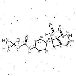 CC(C)(C)OC(=O)N[C@H]1CC[C@H](C2(NC=O)Cc3cc[nH]c(=O)c32)CC1